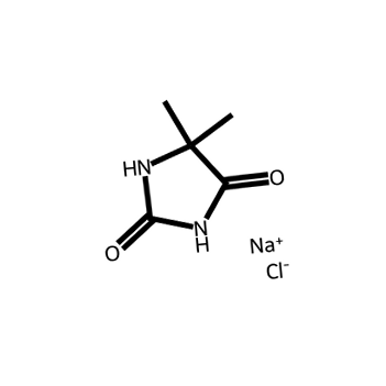 CC1(C)NC(=O)NC1=O.[Cl-].[Na+]